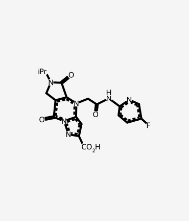 CC(C)N1Cc2c(n(CC(=O)Nc3ccc(F)cn3)c3cc(C(=O)O)nn3c2=O)C1=O